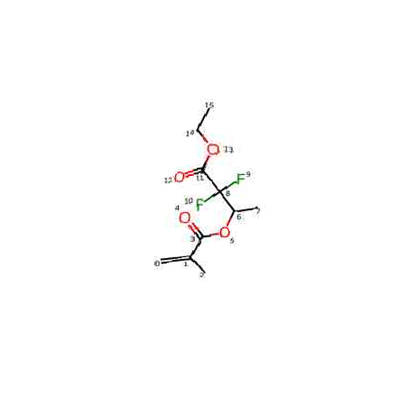 C=C(C)C(=O)OC(C)C(F)(F)C(=O)OCC